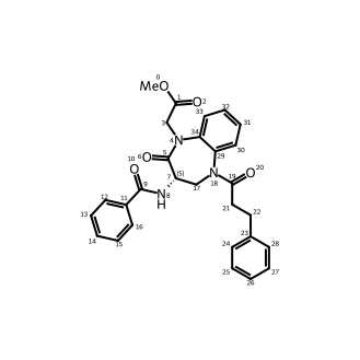 COC(=O)CN1C(=O)[C@@H](NC(=O)c2ccccc2)CN(C(=O)CCc2ccccc2)c2ccccc21